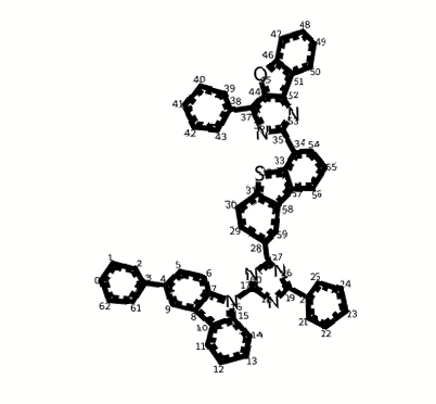 c1ccc(-c2ccc3c(c2)c2ccccc2n3-c2nc(-c3ccccc3)nc(-c3ccc4sc5c(-c6nc(-c7ccccc7)c7oc8ccccc8c7n6)cccc5c4c3)n2)cc1